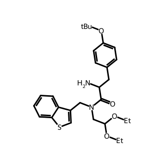 CCOC(CN(Cc1csc2ccccc12)C(=O)C(N)Cc1ccc(OC(C)(C)C)cc1)OCC